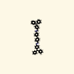 C(=C\c1ccc(C(c2ccccc2)c2ccccc2)cc1)/c1ccc(-c2ccc(/C=C/c3ccc(N(c4ccccc4)c4ccccc4)cc3)cc2)cc1